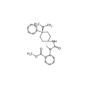 COC(=O)c1ccccc1N1C[C@]2(CC[C@](c3ccccc3)(N(C)C)CC2)NC1=O